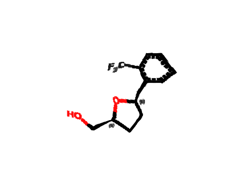 OC[C@@H]1CC[C@H](c2ccccc2C(F)(F)F)O1